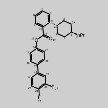 CCC[C@H]1CC[C@H](c2ccccc2C(=O)Oc2ccc(-c3ccc(F)c(F)c3)cc2)CC1